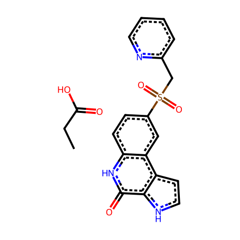 CCC(=O)O.O=c1[nH]c2ccc(S(=O)(=O)Cc3ccccn3)cc2c2cc[nH]c12